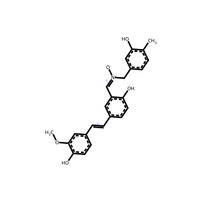 COc1cc(/C=C/c2ccc(O)c(/C=[N+](/[O-])Cc3ccc(C)c(O)c3)c2)ccc1O